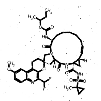 CCC(C)OC(=O)N[C@H]1CCCCC/C=C\[C@@H]2C[C@@]2(C(=O)NS(=O)(=O)C2(C)CC2)NC(=O)[C@@H]2C[C@]3(CCc4c(c(C(F)F)nc5ccc(OC)cc45)O3)CN2C1=O